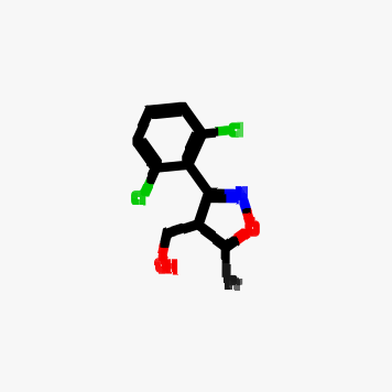 CC(C)C1ON=C(c2c(Cl)cccc2Cl)C1CO